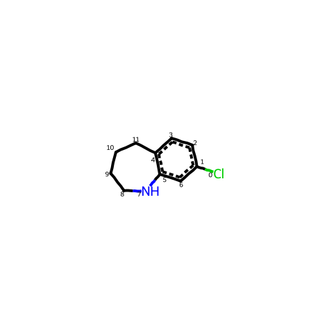 Clc1ccc2c(c1)NCCCC2